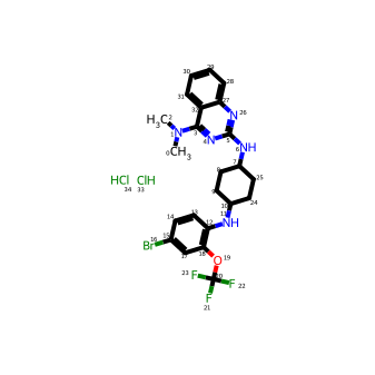 CN(C)c1nc(NC2CCC(Nc3ccc(Br)cc3OC(F)(F)F)CC2)nc2ccccc12.Cl.Cl